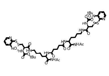 CC(=O)NC(=O)C(CCCCNC(=O)C(CSSc1ncccc1[N+](=O)[O-])NC(=O)OC(C)(C)C)NC(=O)CCCC(=O)NC(CCCCNC(=O)C(CSSc1ncccc1[N+](=O)[O-])NC(=O)OC(C)(C)C)C(=O)NC(C)=O